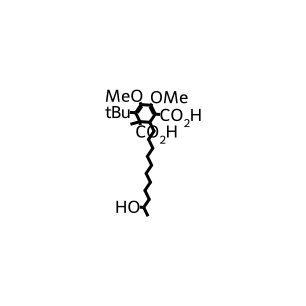 COC1=C(C(=O)O)C(CCCCCCCCCC(C)O)C(C)(C(=O)O)C(C(C)(C)C)=C1OC